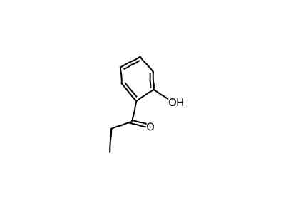 CCC(=O)c1ccccc1O